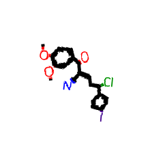 COc1ccc(C(=O)C(C#N)=CC=C(Cl)c2ccc(I)cc2)cc1OC